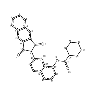 O=C1c2cc3ccccc3cc2C(=O)C1c1ccc2cccc(OS(=O)C3CCCCC3)c2n1